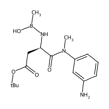 CB(O)N[C@H](CC(=O)OC(C)(C)C)C(=O)N(C)c1cccc(N)c1